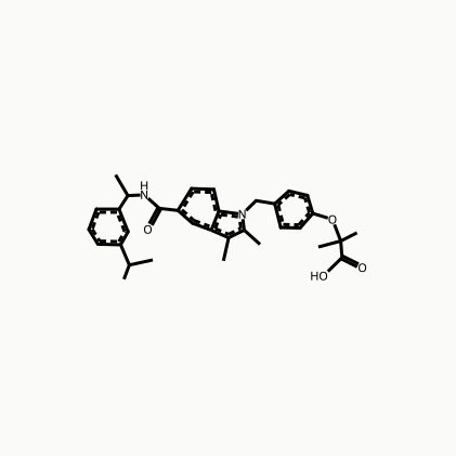 Cc1c(C)n(Cc2ccc(OC(C)(C)C(=O)O)cc2)c2ccc(C(=O)NC(C)c3cccc(C(C)C)c3)cc12